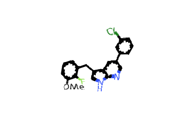 COc1cccc(Cc2c[nH]c3ncc(-c4cccc(Cl)c4)cc23)c1F